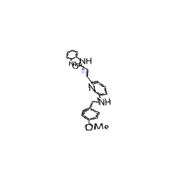 COc1ccc(CNc2cccc(/C=C/C(=O)Nc3ccccc3N)n2)cc1